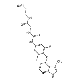 COCCNC(=O)CNC(=O)Nc1cc(F)c(Oc2ccnc3[nH]cc(C(F)(F)F)c23)c(F)c1